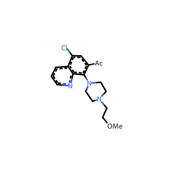 COCCN1CCN(c2c(C(C)=O)cc(Cl)c3cccnc23)CC1